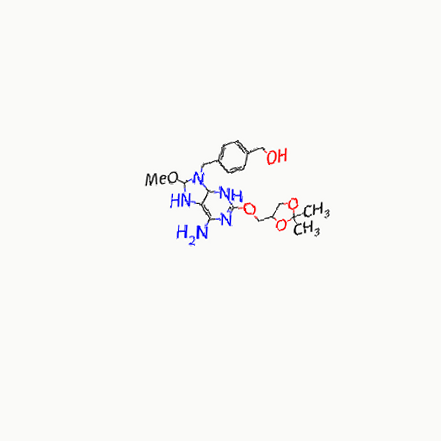 COC1NC2=C(N)N=C(OCC3COC(C)(C)O3)NC2N1Cc1ccc(CO)cc1